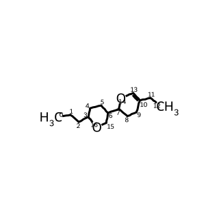 CCCC1CCC(C2CCC(CC)=CO2)CO1